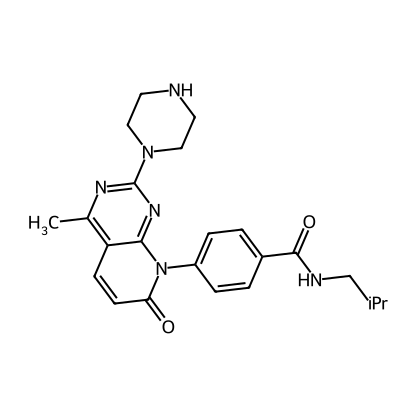 Cc1nc(N2CCNCC2)nc2c1ccc(=O)n2-c1ccc(C(=O)NCC(C)C)cc1